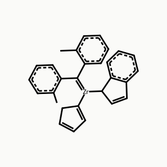 Cc1ccccc1[C](c1ccccc1C)=[Zr]([C]1=CC=CC1)[CH]1C=Cc2ccccc21